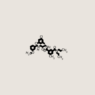 CCCN(CCC)C(=O)c1cc(C)cc(C(=O)N[C@@H](Cc2cc(Cl)cc(Cl)c2)[C@H](O)CNCc2cccc(OC)c2)c1